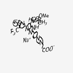 CCOc1ncc(-c2cc(N(C)CC(C)(C)COC)c3[nH]c(-c4ccc(N5CCN(CCC(=O)[O-])CC5)cc4)nc3n2)cc1C(F)(F)F.[Na+]